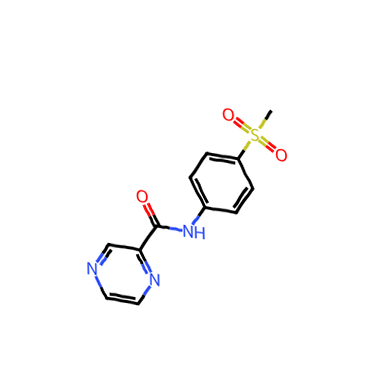 CS(=O)(=O)c1ccc(NC(=O)c2cnccn2)cc1